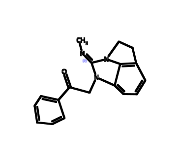 C/N=c1/n(CC(=O)c2ccccc2)c2cccc3c2n1CC3